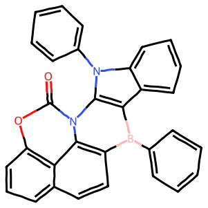 O=C1Oc2cccc3ccc4c(c23)N1c1c(c2ccccc2n1-c1ccccc1)B4c1ccccc1